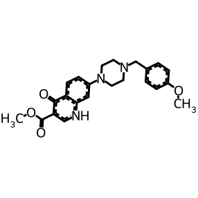 COC(=O)c1c[nH]c2cc(N3CCN(Cc4ccc(OC)cc4)CC3)ccc2c1=O